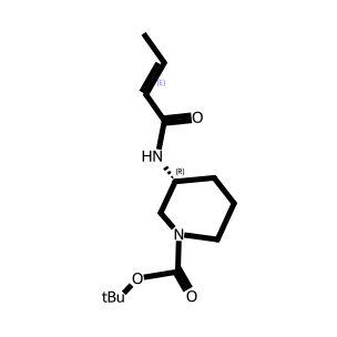 C/C=C/C(=O)N[C@@H]1CCCN(C(=O)OC(C)(C)C)C1